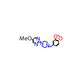 COc1cnc(N2CCN(Cc3ccc4c(c3)OCO4)CC2)nc1